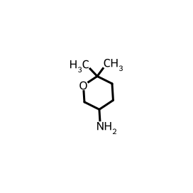 CC1(C)CCC(N)CO1